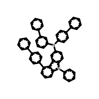 c1ccc(-c2ccc(-c3cccc4c3c3cc(N(c5ccc(-c6ccccc6)cc5)c5cccc(-c6ccccc6)c5)ccc3n4-c3ccccc3)cc2)cc1